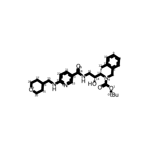 CC(C)(C)OC(=O)N1Cc2ccccc2C[C@H]1[C@H](O)CNC(=O)c1ccc(NCC2CCOCC2)nc1